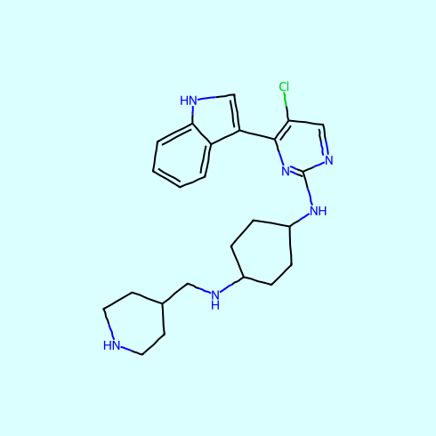 Clc1cnc(NC2CCC(NCC3CCNCC3)CC2)nc1-c1c[nH]c2ccccc12